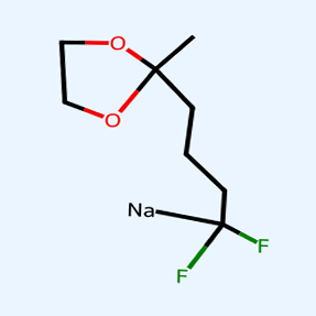 CC1(CCC[C](F)(F)[Na])OCCO1